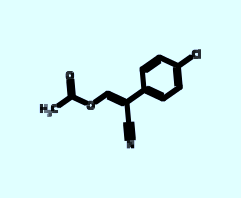 CC(=O)O/C=C(\C#N)c1ccc(Cl)cc1